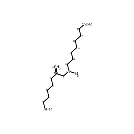 C=C(CCCCCCCCCCCCCCC)CN(CC)CCCCCCCCCCCCCCCCC